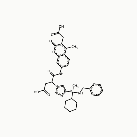 Cc1c(CC(=O)O)c(=O)oc2cc(NC(=O)C(CC(=O)O)n3cc([C@@](C)(NCc4ccccc4)C4CCCCC4)nn3)ccc12